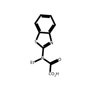 CCN(C(=O)C(=O)O)c1nc2ccccc2s1